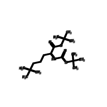 CC(C)(C)CCCC(NC(=O)OC(C)(C)C)C(=O)OC(C)(C)C